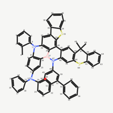 Cc1ccccc1N1c2ccc(N(c3ccccc3)c3ccccc3)cc2B2c3c1cc1c(sc4ccccc41)c3-c1cc3c(cc1N2c1cccc(-c2ccccc2)c1)Sc1ccccc1C3(C)C